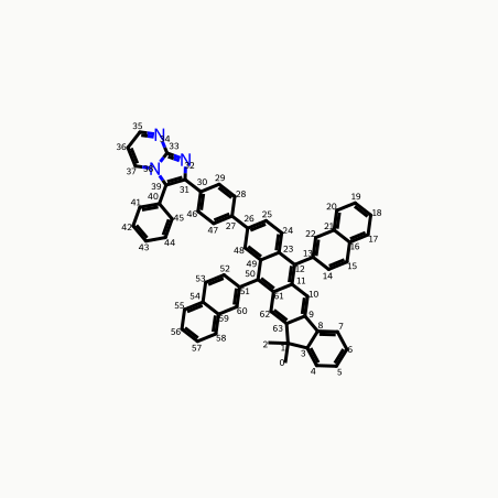 CC1(C)c2ccccc2-c2cc3c(-c4ccc5ccccc5c4)c4ccc(-c5ccc(-c6nc7ncccn7c6-c6ccccc6)cc5)cc4c(-c4ccc5ccccc5c4)c3cc21